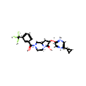 O=C(c1cccc(C(F)(F)F)c1)N1CCN2C(=O)C(Oc3cnc(C4CC4)cn3)CC2C1